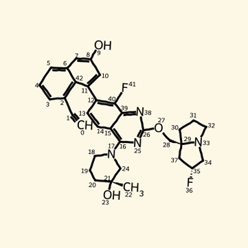 C#Cc1cccc2cc(O)cc(-c3ccc4c(N5CCC[C@@](C)(O)C5)nc(OC[C@@]56CCCN5C[C@H](F)C6)nc4c3F)c12